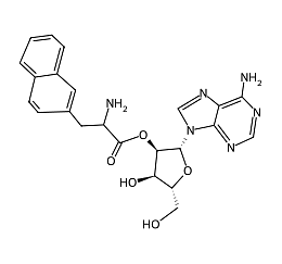 Nc1ncnc2c1ncn2[C@@H]1O[C@H](CO)[C@@H](O)[C@H]1OC(=O)C(N)Cc1ccc2ccccc2c1